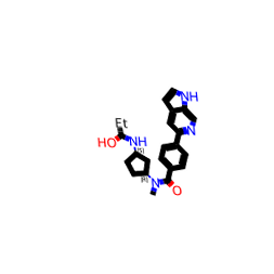 CCC(O)N[C@H]1CC[C@@H](N(C)C(=O)c2ccc(-c3cc4cc[nH]c4cn3)cc2)C1